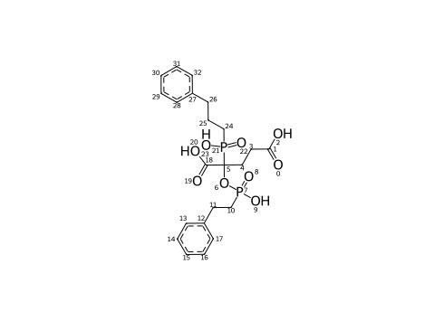 O=C(O)CCC(OP(=O)(O)CCc1ccccc1)(C(=O)O)P(=O)(O)CCCc1ccccc1